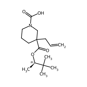 C=CCC1(C(=O)O[C@H](C)C(C)(C)C)CCCN(C(=O)O)C1